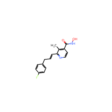 Cc1c(C(=O)NO)ccnc1/C=C/Cc1ccc(F)cc1